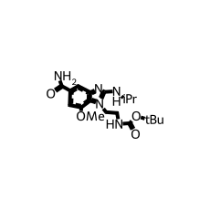 COc1cc(C(N)=O)cc2nc(NC(C)C)n(CCNC(=O)OC(C)(C)C)c12